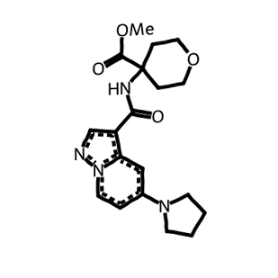 COC(=O)C1(NC(=O)c2cnn3ccc(N4CCCC4)cc23)CCOCC1